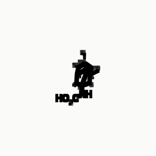 C[C@]12CC3CC(NC(=O)O)(C1)C[C@@](C)(C3)C2